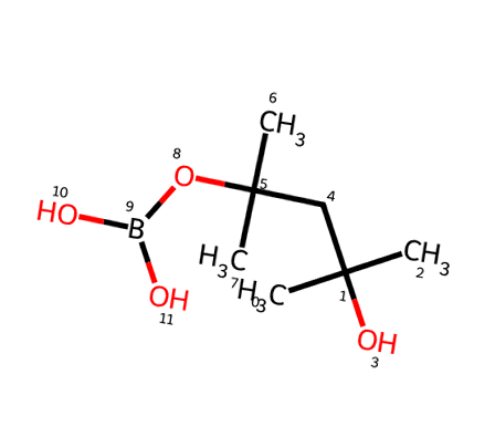 CC(C)(O)CC(C)(C)OB(O)O